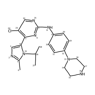 Cc1ncc(-c2nc(Nc3ccc(N4CCNCC4)cc3)ncc2Cl)n1C(C)C